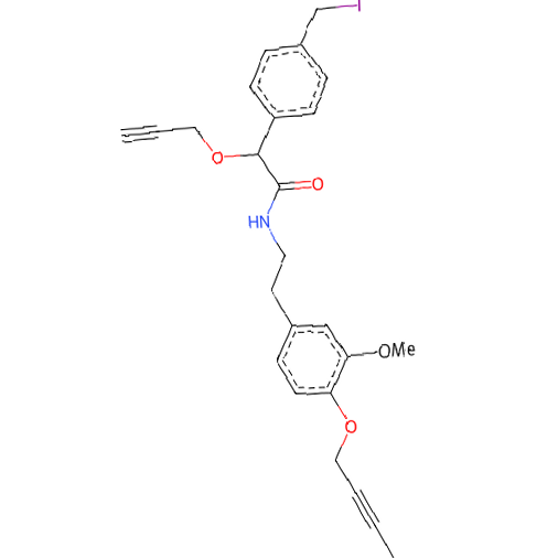 C#CCOC(C(=O)NCCc1ccc(OCC#CC)c(OC)c1)c1ccc(CI)cc1